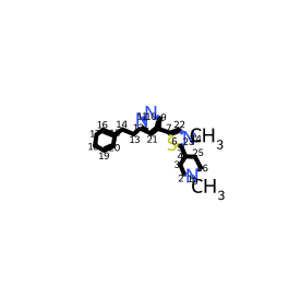 CN1CCC(C2SC(c3cnnc(CCC4=CCCC=C4)c3)=CN2C)CC1